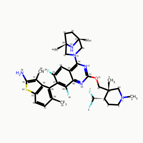 CN1CC[C@H](C(F)F)[C@](C)(COc2nc(N3C[C@H]4CC[C@@H](C3)N4)c3cc(F)c(-c4c(C(F)(F)F)ccc5sc(N)c(C#N)c45)c(F)c3n2)C1